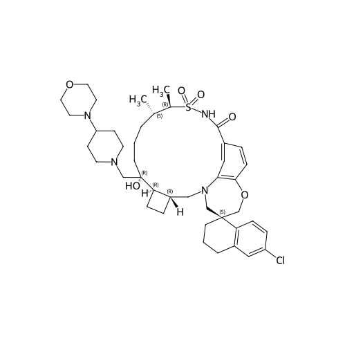 C[C@@H]1[C@@H](C)CCC[C@](O)(CN2CCC(N3CCOCC3)CC2)[C@@H]2CC[C@H]2CN2C[C@@]3(CCCc4cc(Cl)ccc43)COc3ccc(cc32)C(=O)NS1(=O)=O